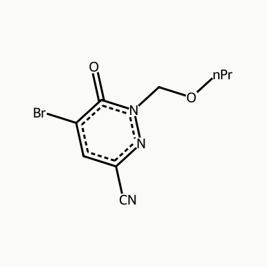 CCCOCn1nc(C#N)cc(Br)c1=O